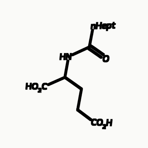 CCCCCCCC(=O)NC(CCC(=O)O)C(=O)O